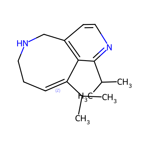 CC(C)/C1=C/CCNCc2ccnc(C(C)C)c21